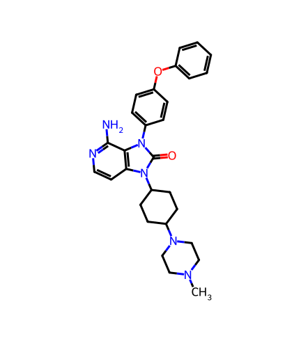 CN1CCN(C2CCC(n3c(=O)n(-c4ccc(Oc5ccccc5)cc4)c4c(N)nccc43)CC2)CC1